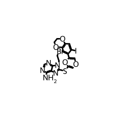 Nc1ncnc2c1nc(SC1=COC=C(c3cc4c(cc3I)OCCO4)O1)n2CCBr